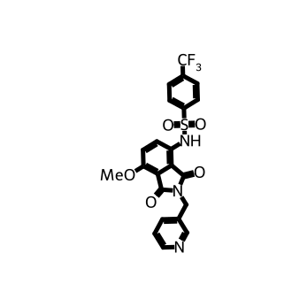 COc1ccc(NS(=O)(=O)c2ccc(C(F)(F)F)cc2)c2c1C(=O)N(Cc1cccnc1)C2=O